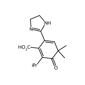 CC(C)C1=C(C(=O)O)C(C2=NCCN2)=CC(C)(C)C1=O